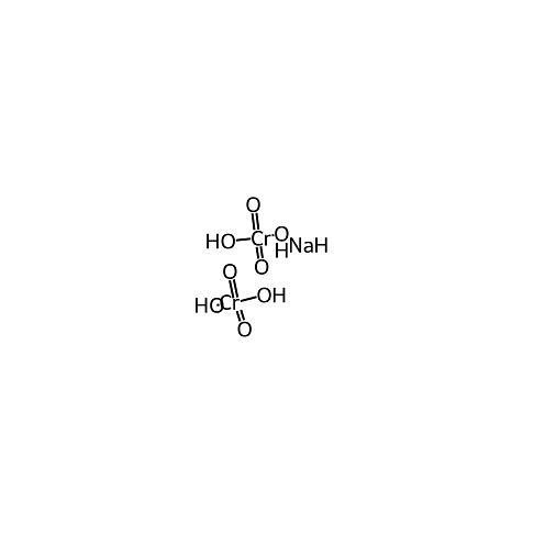 [NaH].[O]=[Cr](=[O])([OH])[OH].[O]=[Cr](=[O])([OH])[OH]